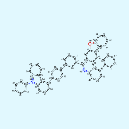 c1ccc(-c2c3c(cc4c(-c5cccc(-c6ccc(-c7cccc8c7c7ccccc7n8-c7ccccc7)cc6)c5)nc5ccccc5c24)oc2ccccc23)cc1